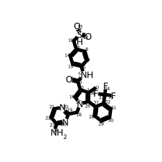 Cc1c(C(=O)Nc2ccc(C[SH](=O)=O)cc2)cn(Cc2nccc(N)n2)c1-c1ccccc1C(F)(F)F